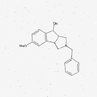 COc1ccc2c(c1)C1CN(Cc3ccccc3)CC1C2O